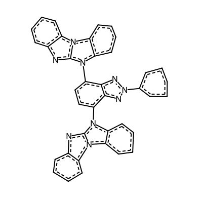 c1ccc(-n2nc3c(-n4c5ccccc5n5c6ccccc6nc45)ccc(-n4c5ccccc5n5c6ccccc6nc45)c3n2)cc1